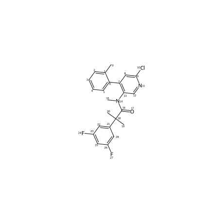 Cc1ccccc1-c1cc(Cl)ncc1N(C)C(=O)C(C)(C)c1cc(F)cc(F)c1